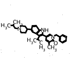 Cc1cc(-c2[nH]c3ccc(C4CCN(CC(C)C)CC4)cc3c2C(C)C)cn(Cc2ccccc2)c1=O